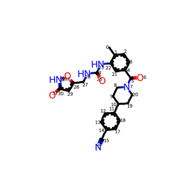 Cc1ccc(C(=O)N2CCC(c3ccc(C#N)cc3)CC2)cc1NC(=O)NCc1cc(=O)[nH]o1